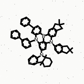 CC1(C)Cc2ccc(N3c4cc5c(cc4B4c6ccc(-c7ccccc7)cc6N(c6cccc(-c7ccccc7)c6)c6cc(N7c8ccccc8C8(C)CCCCC78C)cc3c64)CC(C)(C)C5)cc2C1